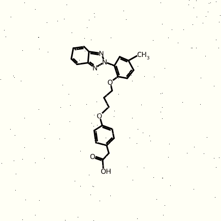 Cc1ccc(OCCCOc2ccc(CC(=O)O)cc2)c(-n2nc3ccccc3n2)c1